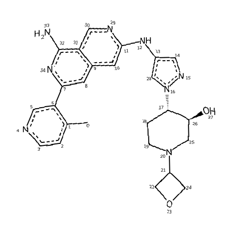 Cc1ccncc1-c1cc2cc(Nc3cnn([C@H]4CCN(C5COC5)C[C@@H]4O)c3)ncc2c(N)n1